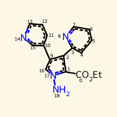 CCOC(=O)c1c(-c2ccccn2)c(-c2cccnc2)cn1N